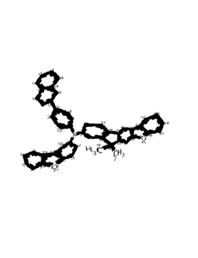 CC1(C)c2cc(N(c3ccc(-c4ccc5ccccc5c4)cc3)c3ccc4oc5ccccc5c4c3)ccc2-c2cc3c(cc21)oc1ccccc13